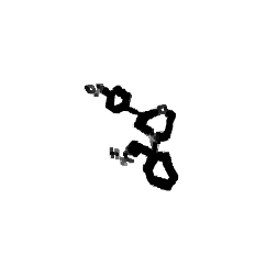 C=C[C@]1(N2CCO[C@H](c3ccc([N+](=O)[O-])cc3)C2)C=CC=CC1